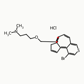 CN(C)CCCOCC1=CC=C2C=CC3=CSC=C(Br)C3=C3C=CCC23S1.Cl